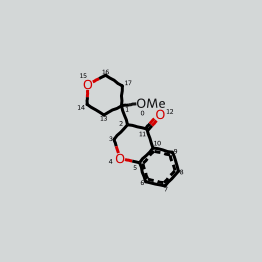 COC1(C2COc3ccccc3C2=O)CCOCC1